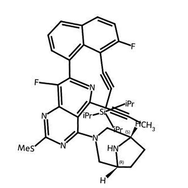 CC#Cc1nc(-c2cccc3ccc(F)c(C#C[Si](C(C)C)(C(C)C)C(C)C)c23)c(F)c2nc(SC)nc(N3C[C@H]4CC[C@@H](C3)N4)c12